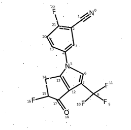 N#Cc1cc(-n2cc(C(F)(F)F)c3c2CC(F)C3=O)ccc1F